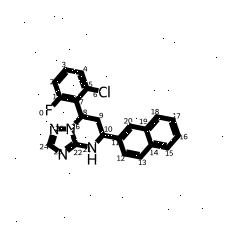 Fc1cccc(Cl)c1C1CC(c2ccc3ccccc3c2)Nc2ncnn21